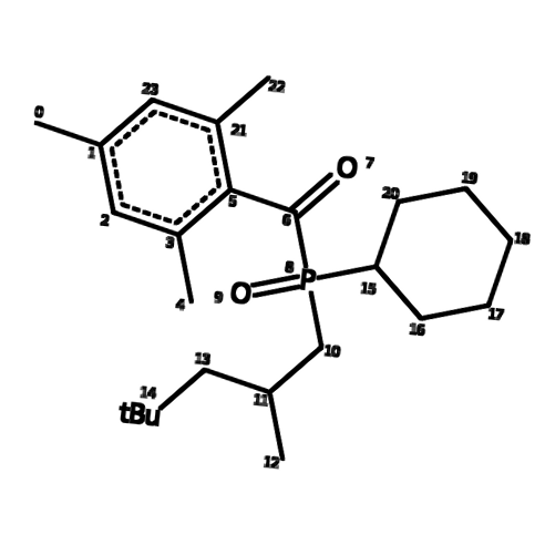 Cc1cc(C)c(C(=O)P(=O)(CC(C)CC(C)(C)C)C2CCCCC2)c(C)c1